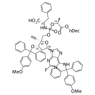 C#C[C@]1(COP(=O)(N[C@@H](Cc2ccccc2)C(=O)O)O[C@@H](C)C(=O)OCCCCCCCCCC)O[C@@H](n2cnc3c(NC(c4ccccc4)(c4ccccc4)c4ccc(OC)cc4)nc(F)nc32)C[C@@H]1OC(c1ccccc1)(c1ccccc1)c1ccc(OC)cc1